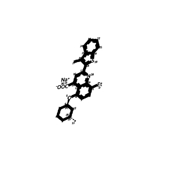 CCc1ccc(O[C@@H]2CCC[C@@H](C)C2)c2c(C(=O)[O-])cc(-c3sc4ccccc4c3C)nc12.[Na+]